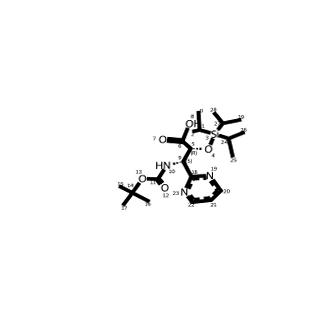 CC(C)[Si](O[C@@H](C(=O)O)[C@@H](NC(=O)OC(C)(C)C)c1ncccn1)(C(C)C)C(C)C